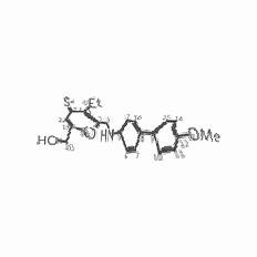 CCc1c(CNc2ccc(-c3ccc(OC)cc3)cc2)oc(CO)cc1=S